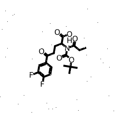 CCC(=O)N(C(=O)OC(C)(C)C)C(CCC(=O)c1ccc(F)c(F)c1)C(=O)O